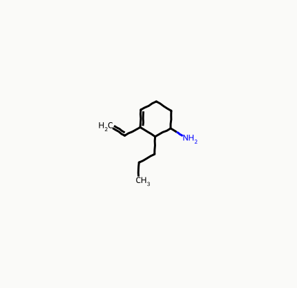 C=CC1=CCCC(N)C1CCC